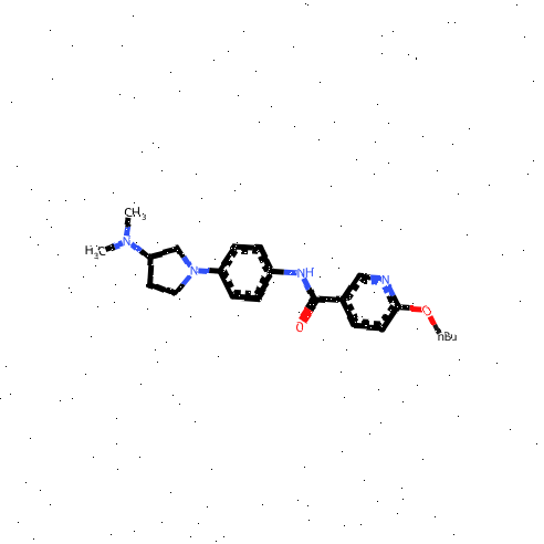 CCCCOc1ccc(C(=O)Nc2ccc(N3CCC(N(C)C)C3)cc2)cn1